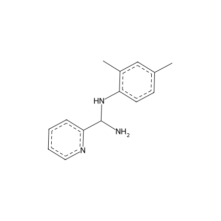 Cc1ccc(NC(N)c2ccccn2)c(C)c1